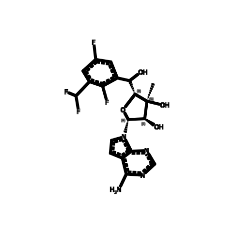 C[C@@]1(O)[C@@H](C(O)c2cc(F)cc(C(F)F)c2F)O[C@@H](n2ccc3c(N)ncnc32)[C@@H]1O